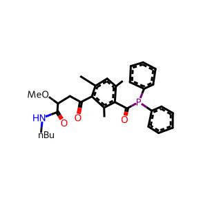 CCCCNC(=O)C(CC(=O)c1c(C)cc(C)c(C(=O)P(c2ccccc2)c2ccccc2)c1C)OC